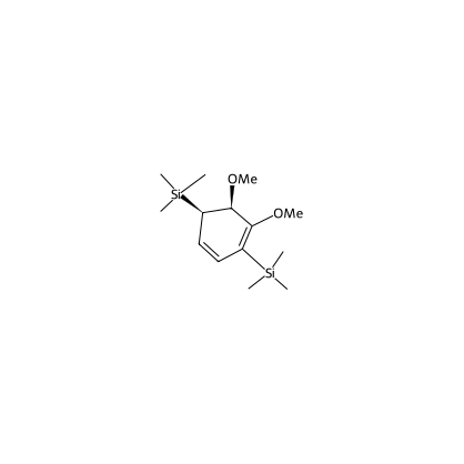 COC1=C([Si](C)(C)C)C=C[C@@H]([Si](C)(C)C)[C@H]1OC